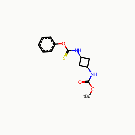 CC(C)(C)OC(=O)N[C@H]1C[C@@H](NC(=S)Oc2ccccc2)C1